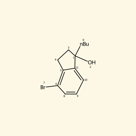 CCCCC1(O)CCc2c(Br)cccc21